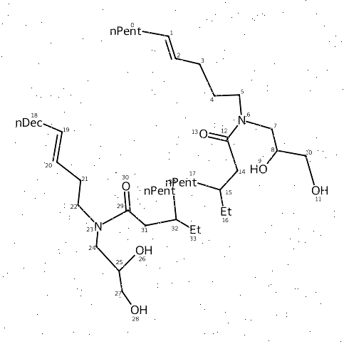 CCCCCC=CCCCN(CC(O)CO)C(=O)CC(CC)CCCCC.CCCCCCCCCCC=CCCN(CC(O)CO)C(=O)CC(CC)CCCCC